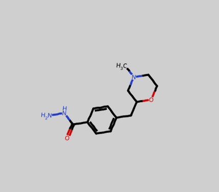 CN1CCOC(Cc2ccc(C(=O)NN)cc2)C1